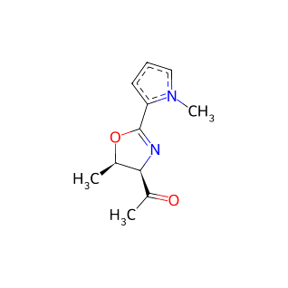 CC(=O)[C@@H]1N=C(c2cccn2C)O[C@@H]1C